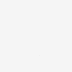 C[C@H]1[C@@H](S)CC(=O)N1Cc1ccc(Oc2ccccc2)cc1